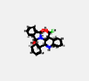 O=C(Cl)c1c(N2C(=O)c3ccccc3C2=O)c(-c2ccccc2)nc2ccccc12